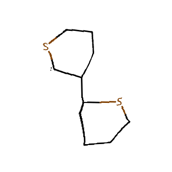 [C]1SCCCC1C1CCCCS1